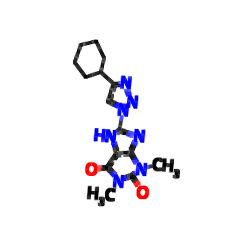 Cn1c(=O)c2[nH]c(-n3cc(C4CCCCC4)nn3)nc2n(C)c1=O